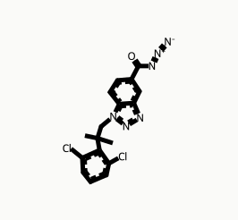 CC(C)(Cn1nnc2cc(C(=O)N=[N+]=[N-])ccc21)c1c(Cl)cccc1Cl